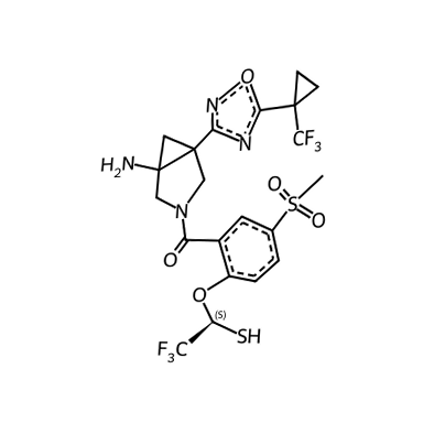 CS(=O)(=O)c1ccc(O[C@@H](S)C(F)(F)F)c(C(=O)N2CC3(N)CC3(c3noc(C4(C(F)(F)F)CC4)n3)C2)c1